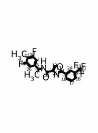 Cc1c(F)cc([C@@H](C)NC(=O)c2coc(-c3cccc(C(F)(F)F)c3)n2)cc1F